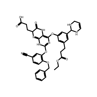 CCOC(=O)CCc1cc(OC2=C3NC(=O)C(CCC(=O)O)N=C3NC(Oc3cc(C#N)ccc3OCc3ccccc3)=N2)cc(C2NC=CCN2)c1